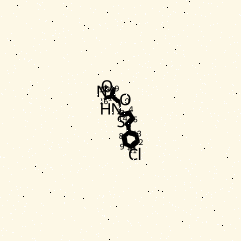 O=C(Nc1ccc(-c2ccc(Cl)cc2)s1)c1cnoc1